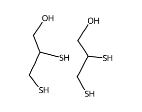 OCC(S)CS.OCC(S)CS